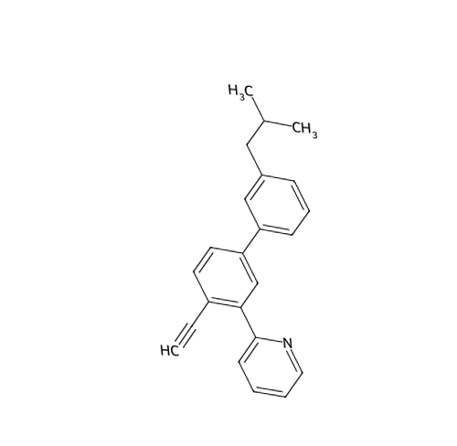 C#Cc1ccc(-c2cccc(CC(C)C)c2)cc1-c1ccccn1